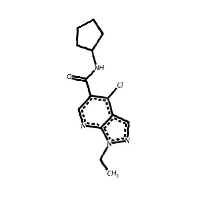 CCn1ncc2c(Cl)c(C(=O)NC3CCCC3)cnc21